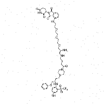 N/C(=C\NCCCC(=O)N1CCN(CC[C@H](CSc2ccccc2)Nc2ccc(S)cc2S(=O)(=O)C(F)(F)F)CC1)COCCOCCOCCNc1cccc2c1C(=O)N(C1CCC(=O)NC1=O)C2=O